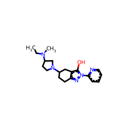 CCN(C)C1CCN(C2CCc3nn(-c4ccccn4)c(O)c3C2)C1